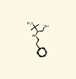 CC(C)(N)C(CO)NCCc1ccccc1